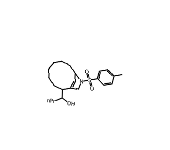 CCCC(O)C1CCCCCCC2C=C1CN2S(=O)(=O)c1ccc(C)cc1